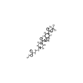 CCOC(=O)CCCN1CCN(C(=O)Nc2ccc(C(=O)OC(C)(C)C)cc2)CC1